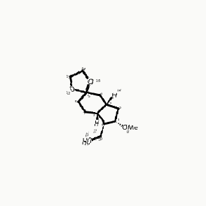 CO[C@H]1C[C@H]2CC3(CC[C@H]2[C@@H]1CO)OCCO3